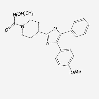 COc1ccc(-c2nc(C3CCN(C(=O)N(C)O)CC3)oc2-c2ccccc2)cc1